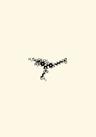 CCCCCOC(=O)N1CC(C(=O)c2ccc(SCCCCCCOC(=O)Cl)cc2)[C@@H](c2cc(C)c(OC(C)(C)C(=O)OCC)c(C)c2)C1